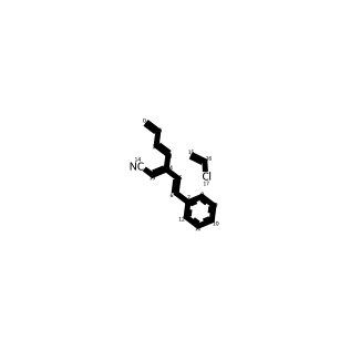 C=CC=CC(C=Cc1ccccc1)=CC#N.C=CCl